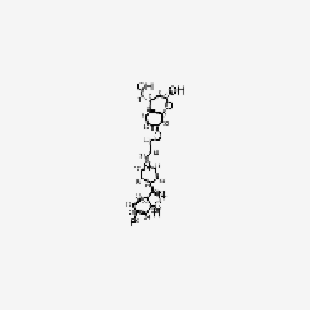 OC[C@@H]1C[C@H](O)OC2=C1CC[C@@H](OCCCN1CCC(C3=NO[C@H]4C=C(F)C=CC34)CC1)C2